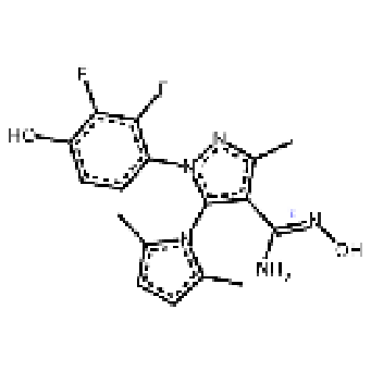 Cc1nn(-c2ccc(O)c(F)c2F)c(-n2c(C)ccc2C)c1/C(N)=N/O